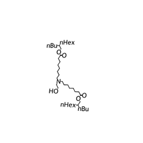 CCCCCCC(CCCC)COC(=O)CCCCCCCN(CCO)CCCCCCCC(=O)OCC(CCCC)CCCCCC